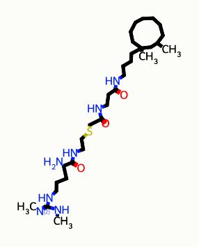 C/N=C(/NC)NCCCC(N)C(=O)NCCSCC(=O)NCCC(=O)NCCCCC1(C)CCCCCCCC(C)C1